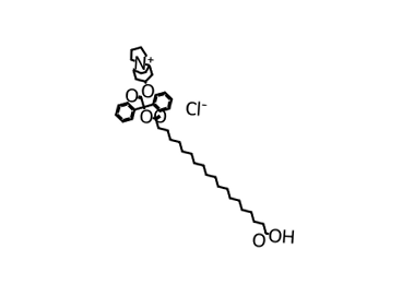 O=C(O)CCCCCCCCCCCCCCCCCCC(=O)OC(C(=O)OC1CC2CCC(C1)[N+]21CCCC1)(c1ccccc1)c1ccccc1.[Cl-]